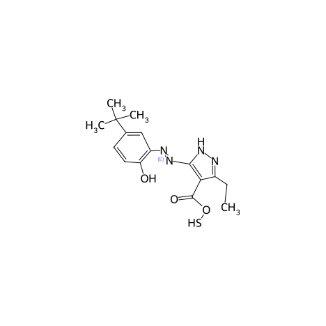 CCc1n[nH]c(/N=N/c2cc(C(C)(C)C)ccc2O)c1C(=O)OS